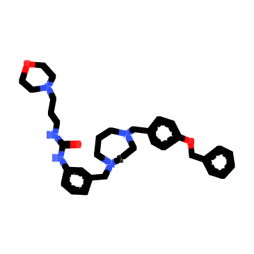 O=C(NCCCN1CCOCC1)Nc1cccc(CN2CCCN(Cc3ccc(OCc4ccccc4)cc3)CC2)c1